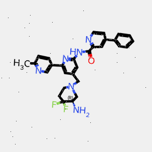 Cc1ccc(-c2cc(CN3CCC(F)(F)[C@H](N)C3)cc(NC(=O)c3cc(-c4ccccc4)ccn3)n2)cn1